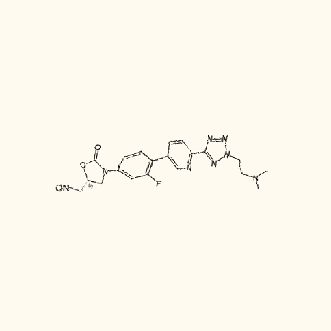 CN(C)CCn1nnc(-c2ccc(-c3ccc(N4C[C@H](CN=O)OC4=O)cc3F)cn2)n1